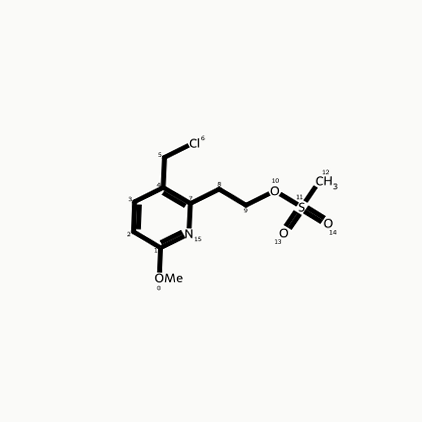 COc1ccc(CCl)c(CCOS(C)(=O)=O)n1